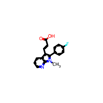 Cn1c(-c2ccc(F)cc2)c(C=CC(=O)O)c2cccnc21